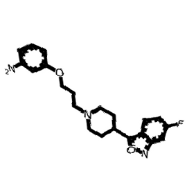 Nc1cccc(OCCCN2CCC(c3onc4cc(F)ccc34)CC2)c1